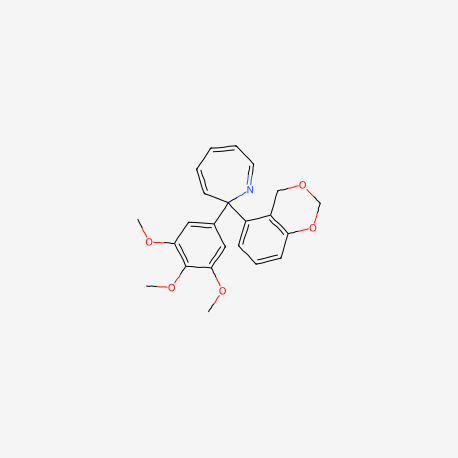 COc1cc(C2(c3cccc4c3COCO4)C=CC=CC=N2)cc(OC)c1OC